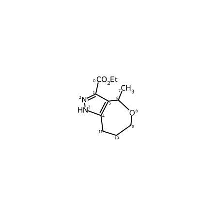 CCOC(=O)c1n[nH]c2c1C(C)OCCC2